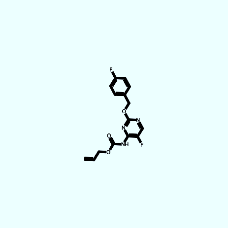 C=CCOC(=O)Nc1nc(OCc2ccc(F)cc2)ncc1F